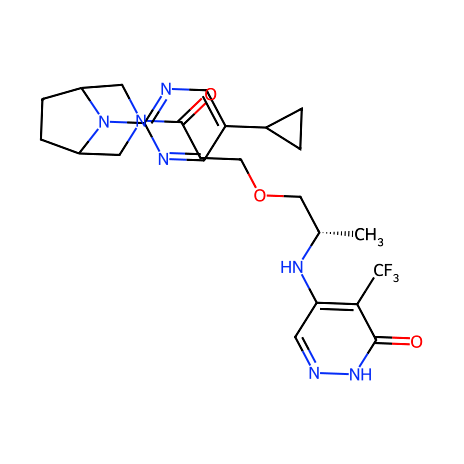 C[C@@H](COCCC(=O)N1CC2CCC(C1)N2c1ncc(C2CC2)cn1)Nc1cn[nH]c(=O)c1C(F)(F)F